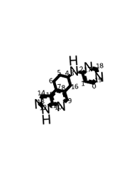 c1cc(NC2CCc3c(cnc4[nH]ncc34)C2)ncn1